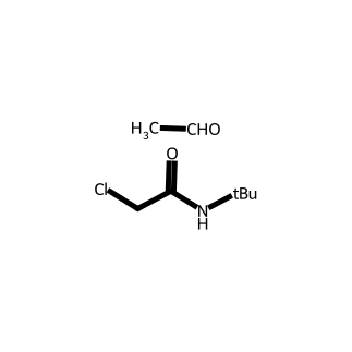 CC(C)(C)NC(=O)CCl.CC=O